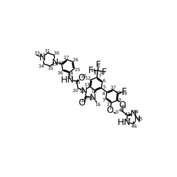 COc1cc(-c2cc(C(F)(F)F)cc3c2n(C)c(=O)n3CC(=O)Nc2cccc(N3CCN(C)CC3)c2)cc(F)c1OCc1nnc[nH]1